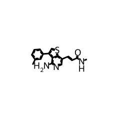 CNC(=O)/C=C/c1cnc(N)c2c(-c3cccc(C)c3)csc12